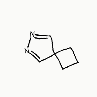 C1=NN=CC12CCC2